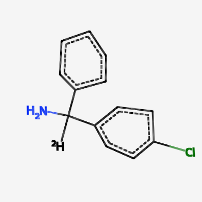 [2H]C(N)(c1ccccc1)c1ccc(Cl)cc1